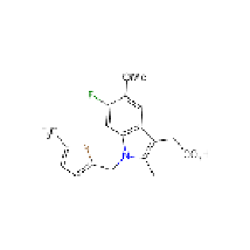 COc1cc2c(CC(=O)O)c(C)n(Cc3ccc(C(F)(F)F)s3)c2cc1F